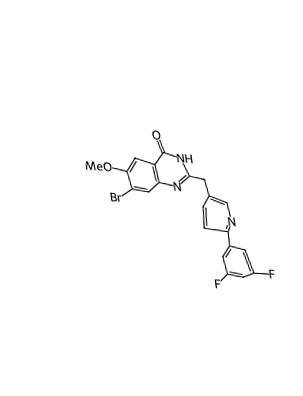 COc1cc2c(=O)[nH]c(Cc3ccc(-c4cc(F)cc(F)c4)nc3)nc2cc1Br